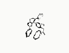 CC(Cc1ccc(C2=C(C(N)=O)CCc3ccc(-c4ccccc4)cc32)cc1)N1CCCCC1.I